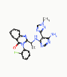 CCC(Nc1ncnc(N)c1-c1ncn(C)n1)c1nc2ccccc2c(=O)n1-c1ccccc1F